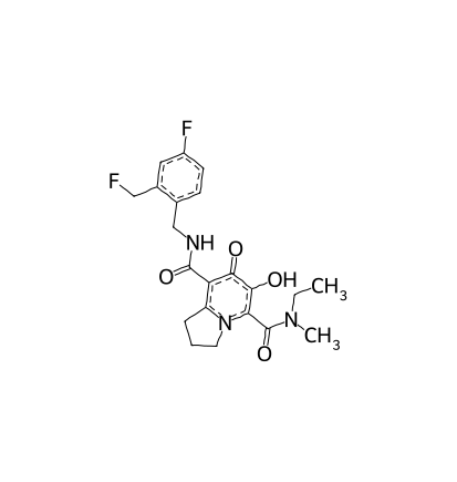 CCN(C)C(=O)c1c(O)c(=O)c(C(=O)NCc2ccc(F)cc2CF)c2n1CCC2